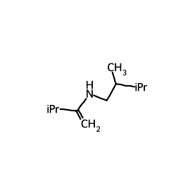 C=C(NCC(C)C(C)C)C(C)C